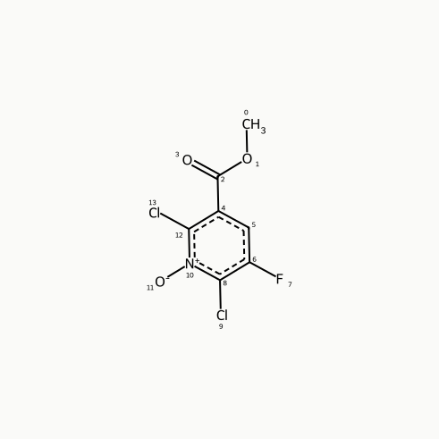 COC(=O)c1cc(F)c(Cl)[n+]([O-])c1Cl